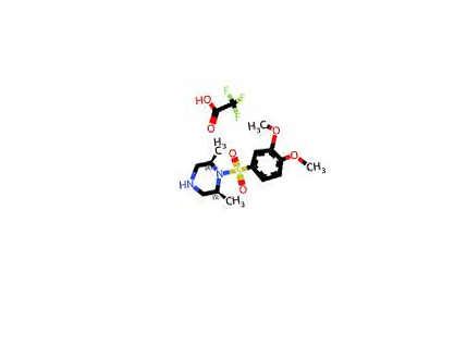 COc1ccc(S(=O)(=O)N2[C@H](C)CNC[C@@H]2C)cc1OC.O=C(O)C(F)(F)F